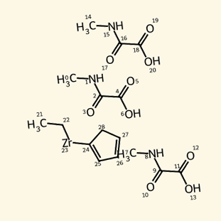 CNC(=O)C(=O)O.CNC(=O)C(=O)O.CNC(=O)C(=O)O.C[CH2][Zr][C]1=CC=CC1